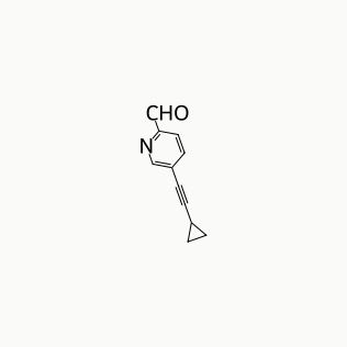 O=Cc1ccc(C#CC2CC2)cn1